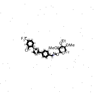 CCO[C@@H]1[C@@H](OC)[C@H](C)O[C@@H](O/N=C/c2ccc(-c3ncn(-c4ccc(C(F)(F)F)cc4Cl)n3)cc2)[C@@H]1OC